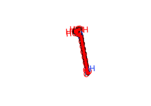 O=C(CCN1C(=O)C=CC1=O)NCCCOCCOCCOCCOCCOCCOCCOCCOCCOCCOCCOCCn1cc(CCO[C@H]2O[C@H](CCP(=O)(O)O)[C@@H](O)[C@H](O)[C@@H]2O)nn1